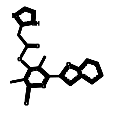 Cc1c(-c2cc3ccccc3o2)oc(=O)c(C)c1OC(=O)Cc1ncc[nH]1